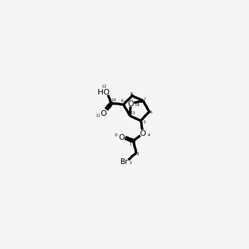 O=C(CBr)OC1CC2CC(C(=O)O)C1O2